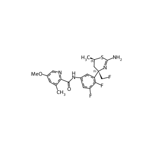 COc1cnc(C(=O)Nc2cc(F)c(F)c([C@]3(CF)C[C@@H](C)SC(N)=N3)c2)c(C)c1